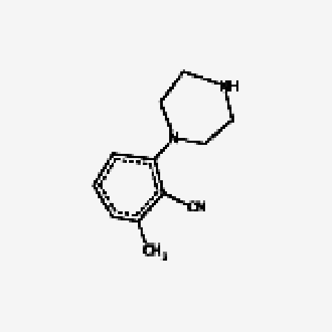 Cc1cccc(N2CCNCC2)c1C#N